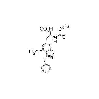 Cc1cc(CC(NC(=O)OC(C)(C)C)C(=O)O)cc2cnn(Cc3ccccc3)c12